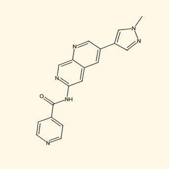 Cn1cc(-c2cnc3cnc(NC(=O)c4ccncc4)cc3c2)cn1